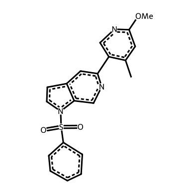 COc1cc(C)c(-c2cc3ccn(S(=O)(=O)c4ccccc4)c3cn2)cn1